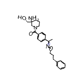 C/C(=N\OCCCc1ccccc1)c1ccc(C(=O)N2CCCC(N)(CO)C2)cc1